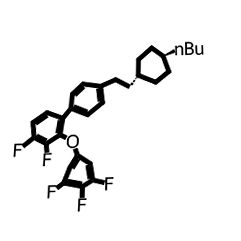 CCCC[C@H]1CC[C@H](CCc2ccc(-c3ccc(F)c(F)c3Oc3cc(F)c(F)c(F)c3)cc2)CC1